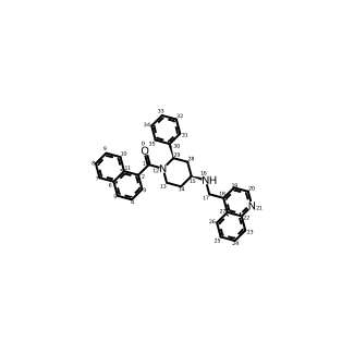 O=C(c1cccc2ccccc12)N1CC[C@H](NCc2ccnc3ccccc23)C[C@@H]1c1ccccc1